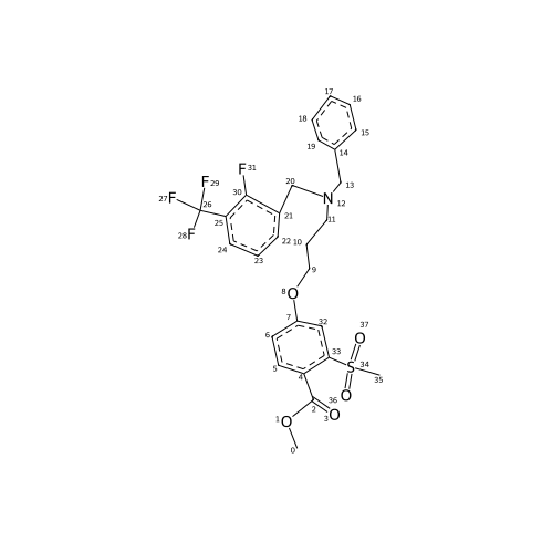 COC(=O)c1ccc(OCCCN(Cc2ccccc2)Cc2cccc(C(F)(F)F)c2F)cc1S(C)(=O)=O